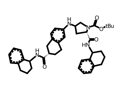 CC(C)(C)OC(=O)N1CC(Nc2ccc3c(c2)CC[C@H](C(=O)NC2CCCc4ccccc42)C3)C[C@H]1C(=O)NC1CCCc2ccccc21